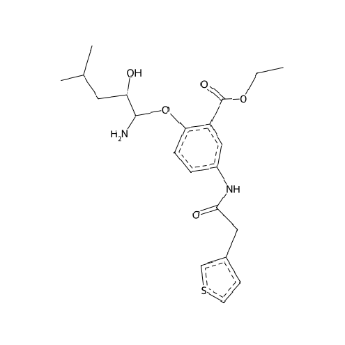 CCOC(=O)c1cc(NC(=O)Cc2ccsc2)ccc1OC(N)C(O)CC(C)C